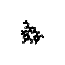 COc1cc(F)c([N+](=O)[O-])cc1Nc1ncc(C(=O)OC(C)C)c(N2CC(C)(C)c3nc(Br)ccc32)n1